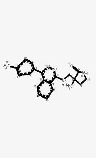 CC1(CNc2nnc(-c3ccc(C(F)(F)F)cc3)c3ccccc23)CCNC1=O